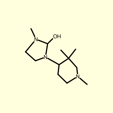 CN1CCC(N2CCN(C)C2O)C(C)(C)C1